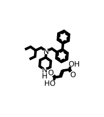 CCC(CC)CN(Cc1ccccc1-c1ccccc1)C1CCNCC1.O=C(O)C=CC(=O)O